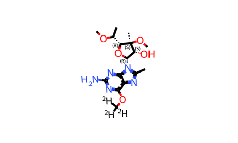 [2H]C([2H])([2H])Oc1nc(N)nc2c1nc(C)n2[C@@H]1O[C@H](C(C)OC)[C@@](C)(OC)[C@@H]1O